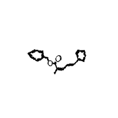 CC(=CC=Cc1ccccc1)C(=O)OCc1ccccc1